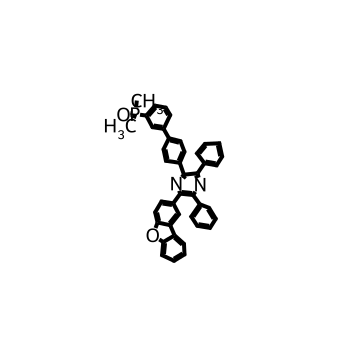 CP(C)(=O)c1cccc(-c2ccc(-c3nc(-c4ccc5oc6ccccc6c5c4)c(-c4ccccc4)nc3-c3ccccc3)cc2)c1